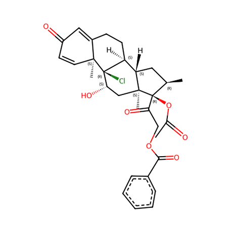 CC(=O)O[C@]1(C(=O)COC(=O)c2ccccc2)[C@H](C)C[C@H]2[C@@H]3CCC4=CC(=O)C=C[C@]4(C)[C@@]3(Cl)[C@@H](O)C[C@@]21C